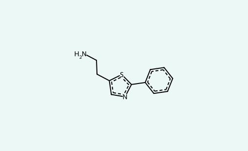 NCCc1cnc(-c2ccccc2)s1